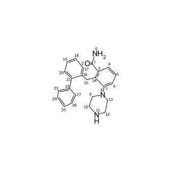 NC(=O)c1cccc(N2CCNCC2)c1Cc1ccccc1-c1ccccc1